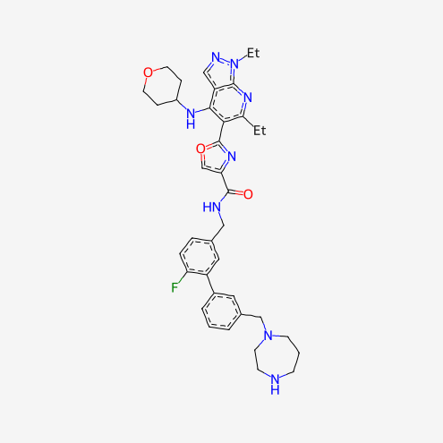 CCc1nc2c(cnn2CC)c(NC2CCOCC2)c1-c1nc(C(=O)NCc2ccc(F)c(-c3cccc(CN4CCCNCC4)c3)c2)co1